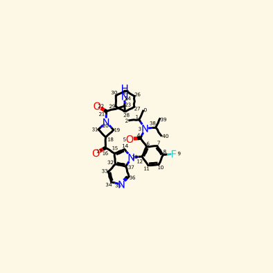 CC(C)N(C(=O)c1cc(F)ccc1-n1cc(C(=O)C2CN(C(=O)C3NC4CCC3CC4)C2)c2ccncc21)C(C)C